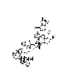 C[C@H]1c2c(nn(-c3ccc(F)c(C4CC4)c3)c2-n2ccn(-c3ccc4c(cnn4C)c3F)c2=O)CCN1C(=O)c1cn2nccc(F)c2c1C1(c2noc(=O)[nH]2)CC1